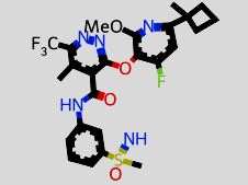 COc1nc(C2(C)CCC2)cc(F)c1Oc1nnc(C(F)(F)F)c(C)c1C(=O)Nc1cccc(S(C)(=N)=O)c1